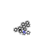 C1=C(c2ccccc2)N(c2ccc3c(-c4cccc5ccccc45)c4ccccc4c(-c4ccc(-c5ccccc5)cc4)c3c2)C(c2ccccc2)C1